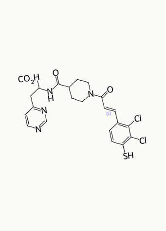 O=C(NC(Cc1ccncn1)C(=O)O)C1CCN(C(=O)/C=C/c2ccc(S)c(Cl)c2Cl)CC1